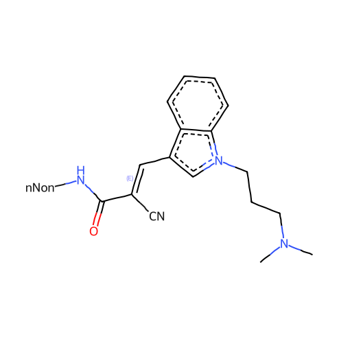 CCCCCCCCCNC(=O)/C(C#N)=C/c1cn(CCCN(C)C)c2ccccc12